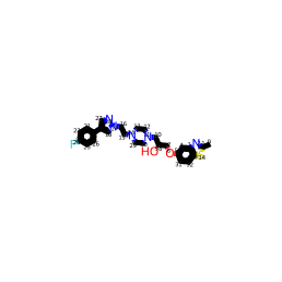 Cc1nc2cc(OC[C@H](O)CN3CCN(CCn4cc(-c5ccc(F)cc5)cn4)CC3)ccc2s1